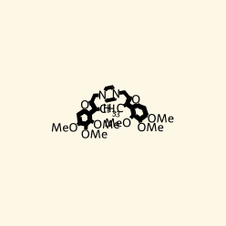 COc1cc2oc(CN3CCN(Cc4oc5cc(OC)c(OC)c(OC)c5c4C)CC3)c(C)c2c(OC)c1OC